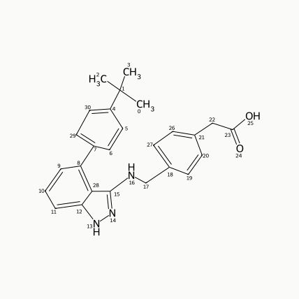 CC(C)(C)c1ccc(-c2cccc3[nH]nc(NCc4ccc(CC(=O)O)cc4)c23)cc1